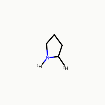 [2H]C1CCCN1[2H]